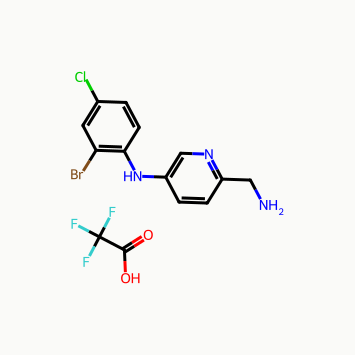 NCc1ccc(Nc2ccc(Cl)cc2Br)cn1.O=C(O)C(F)(F)F